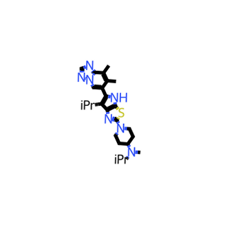 Cc1c(-c2[nH]c3sc(N4CCC(N(C)C(C)C)CC4)nc3c2C(C)C)cn2ncnc2c1C